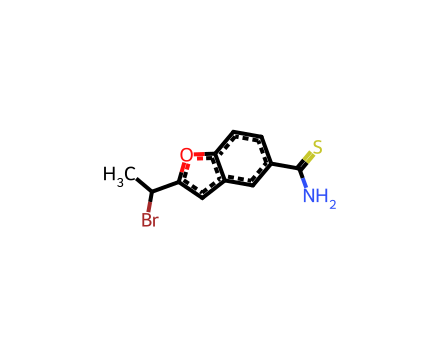 CC(Br)c1cc2cc(C(N)=S)ccc2o1